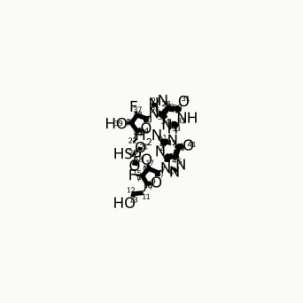 Nc1nc2c(nnn2[C@@H]2O[C@H](CCO)[C@@H](F)[C@H]2OP(=O)(S)OC[C@H]2O[C@@H](n3nnc4c(=O)[nH]cnc43)[C@@H](F)[C@@H]2O)c(=O)[nH]1